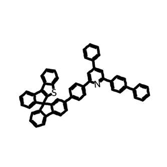 c1ccc(-c2ccc(-c3cc(-c4ccccc4)cc(-c4ccc(-c5ccc6c(c5)C5(c7ccccc7-6)c6ccccc6-c6c5sc5ccccc65)cc4)n3)cc2)cc1